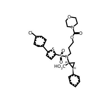 O=C(OCCCN([C@]1(C(=O)O)C[C@H]1c1ccccc1)S(=O)(=O)c1ccc(-c2ccc(Cl)cc2)s1)N1CCOCC1